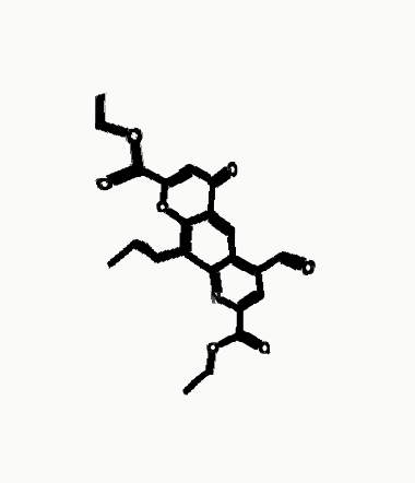 CCCc1c2nc(C(=O)OCC)cc(C=O)c2cc2c(=O)cc(C(=O)OCC)oc12